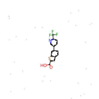 O=C(O)c1cc2ccc(-c3ccc(C(F)(F)F)nc3)cc2s1